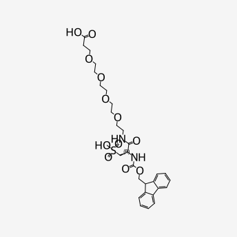 O=C(O)CCOCCOCCOCCOCCNC(=O)[C@H](CS(=O)(=O)O)NC(=O)OCC1c2ccccc2-c2ccccc21